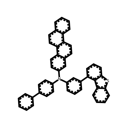 c1ccc(-c2ccc(N(c3cccc(-c4cccc5sc6ccccc6c45)c3)c3ccc4c(ccc5c6ccccc6ccc45)c3)cc2)cc1